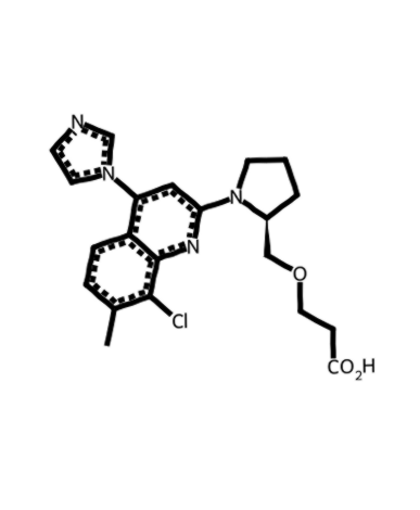 Cc1ccc2c(-n3ccnc3)cc(N3CCC[C@H]3COCCC(=O)O)nc2c1Cl